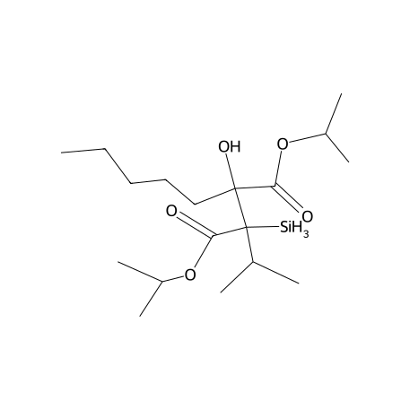 CCCCCC(O)(C(=O)OC(C)C)C([SiH3])(C(=O)OC(C)C)C(C)C